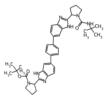 CC(C)(C)NC(=O)N1CCCC1c1nc2ccc(-c3ccc(-c4ccc5nc(C6CCCN6C(=O)OC(C)(C)C)[nH]c5c4)cc3)cc2[nH]1